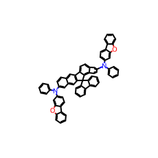 c1ccc(N(c2ccc3cc4c(cc3c2)C2(c3ccccc3-c3ccccc32)c2c-4ccc3cc(N(c4ccccc4)c4ccc5c(c4)oc4ccccc45)ccc23)c2ccc3c(c2)oc2ccccc23)cc1